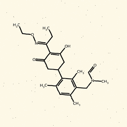 CCON=C(CC)C1=C(O)CC(c2c(C)cc(C)c(CN(C)C=O)c2C)CC1=O